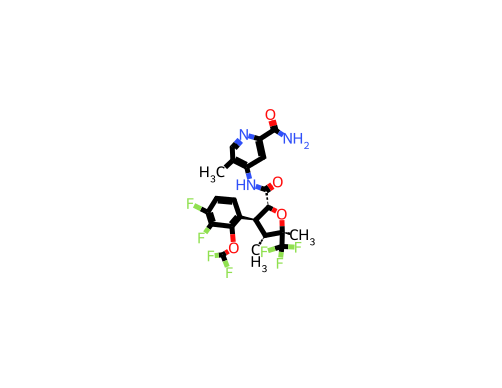 Cc1cnc(C(N)=O)cc1NC(=O)[C@@H]1O[C@@](C)(C(F)(F)F)[C@H](C)[C@H]1c1ccc(F)c(F)c1OC(F)F